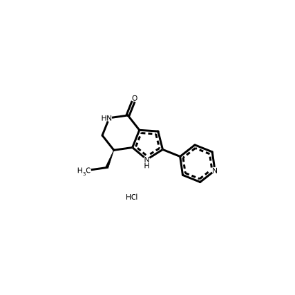 CC[C@H]1CNC(=O)c2cc(-c3ccncc3)[nH]c21.Cl